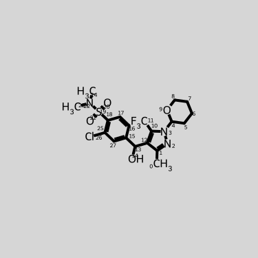 Cc1nn(C2CCCCO2)c(C(F)(F)F)c1C(O)c1ccc(S(=O)(=O)N(C)C)c(Cl)c1